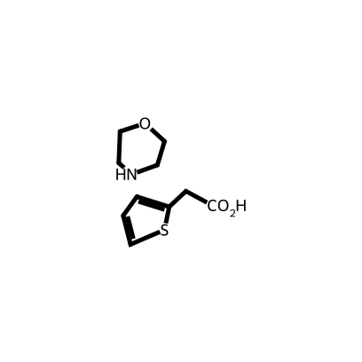 C1COCCN1.O=C(O)Cc1cccs1